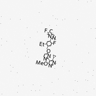 CCc1cc(-c2nc(C(F)(F)F)cn2C)c(F)cc1COc1ccnc(-c2c(OC)ncnc2C2CC2)n1